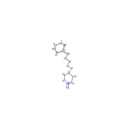 c1ccc(CCCCCC2CCNCC2)cc1